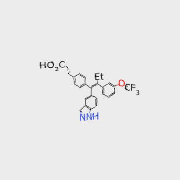 CCC(=C(c1ccc(C=CC(=O)O)cc1)c1ccc2[nH]ncc2c1)c1cccc(OC(F)(F)F)c1